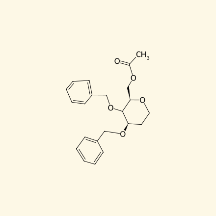 CC(=O)OC[C@H]1OCC[C@@H](OCc2ccccc2)C1OCc1ccccc1